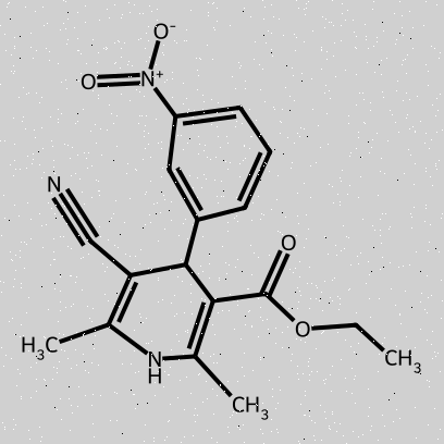 CCOC(=O)C1=C(C)NC(C)=C(C#N)C1c1cccc([N+](=O)[O-])c1